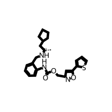 C[C@@H](CC1CCCC1)NCc1ccccc1NC(=O)OCc1cc(-c2cccs2)on1